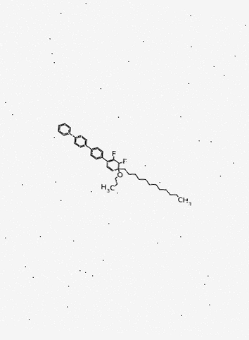 CCCCCCCCCCCCC1(OCCC)C=CC(c2ccc(-c3ccc(-c4ccccc4)cc3)cc2)=C(F)C1F